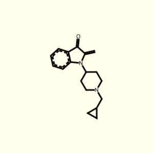 C=C1C(=O)c2ccccc2N1C1CCN(CC2CC2)CC1